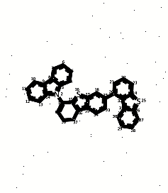 C1=C(n2c3ccccc3c3ccccc32)c2sc3cc(-c4cccc5sc6ccccc6c45)ccc3c2CC1